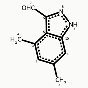 Cc1cc(C)c2c(C=O)n[nH]c2c1